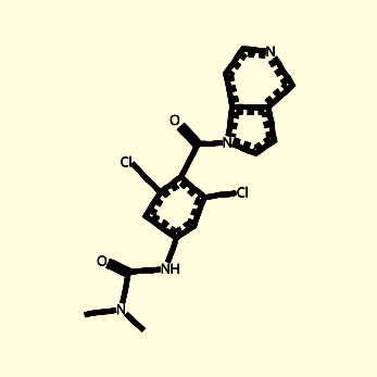 CN(C)C(=O)Nc1cc(Cl)c(C(=O)n2ccc3cnccc32)c(Cl)c1